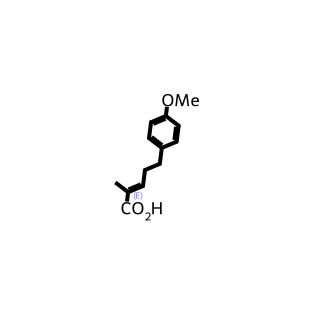 COc1ccc(CC/C=C(\C)C(=O)O)cc1